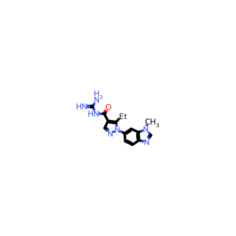 CCc1c(C(=O)NC(=N)N)cnn1-c1ccc2ncn(C)c2c1